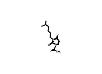 CC(Cl)CCCCn1c(=O)ccn(C(N)=O)c1=O